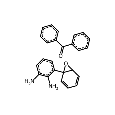 Nc1cccc(C23C=CC=CC2O3)c1N.O=C(c1ccccc1)c1ccccc1